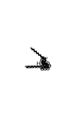 CCCCCCCCCCCOC(C)Cn1c(=O)[nH]c2c1c(=O)n(P(=O)=O)c(=O)n2[S+]([O-])CCCCCCCCCCC